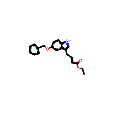 CCOC(=O)C=CCc1c[nH]c2ccc(OCc3ccccc3)cc12